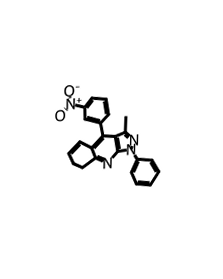 Cc1nn(-c2ccccc2)c2nc3c(c(-c4cccc([N+](=O)[O-])c4)c12)C=CCC3